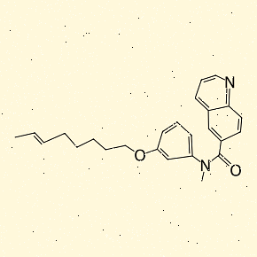 CC=CCCCCCOc1cccc(N(C)C(=O)c2ccc3ncccc3c2)c1